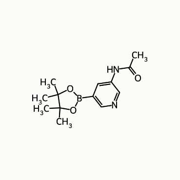 CC(=O)Nc1cncc(B2OC(C)(C)C(C)(C)O2)c1